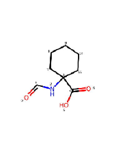 O=CNC1(C(=O)O)CCCCC1